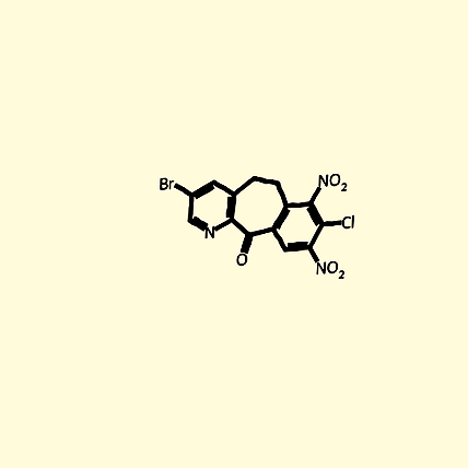 O=C1c2cc([N+](=O)[O-])c(Cl)c([N+](=O)[O-])c2CCc2cc(Br)cnc21